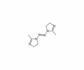 CC1=NCCN1N=NN1CCN=C1C